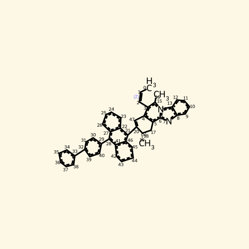 C/C=C\c1c2c(c3nc4ccccc4n3c1C)C[C@H](C)C(c1c3ccccc3c(-c3ccc(-c4ccccc4)cc3)c3ccccc13)=C2